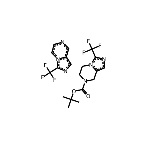 CC(C)(C)OC(=O)N1CCn2c(cnc2C(F)(F)F)C1.FC(F)(F)c1ncc2cnccn12